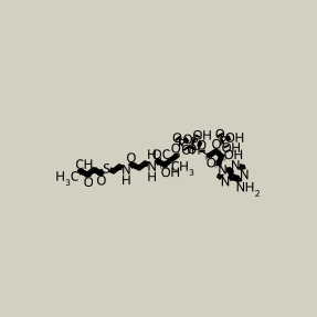 C=C(C)C(=O)CC(=O)SCCNC(=O)CCNC(=O)[C@H](O)C(C)(C)COP(=O)(O)OP(=O)(O)OC[C@H]1O[C@@H](n2cnc3c(N)ncnc32)[C@H](O)[C@@H]1OP(=O)(O)O